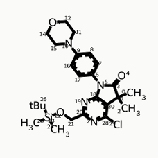 CC1(C)C(=O)N(c2ccc(N3CCOCC3)cc2)c2nc(CO[Si](C)(C)C(C)(C)C)nc(Cl)c21